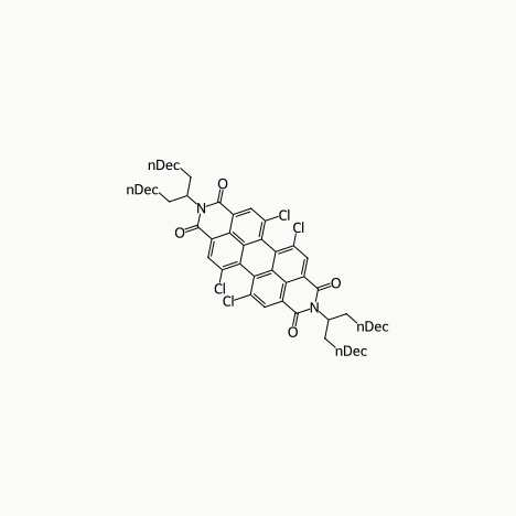 CCCCCCCCCCCC(CCCCCCCCCCC)N1C(=O)c2cc(Cl)c3c4c(Cl)cc5c6c(cc(Cl)c(c7c(Cl)cc(c2c37)C1=O)c64)C(=O)N(C(CCCCCCCCCCC)CCCCCCCCCCC)C5=O